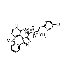 COC1=C(n2c(NS(=O)(=O)[C@@H](C)Cc3ncc(C)cn3)nnc2-c2ccccn2)C(OC)NC=N1